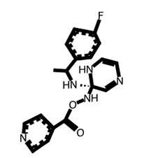 CC(N[C@@]1(NOC(=O)c2ccncc2)C=NC=CN1)c1ccc(F)cc1